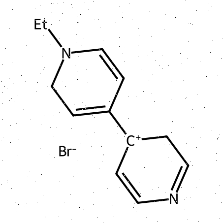 CCN1C=CC([C+]2C=CN=CC2)=CC1.[Br-]